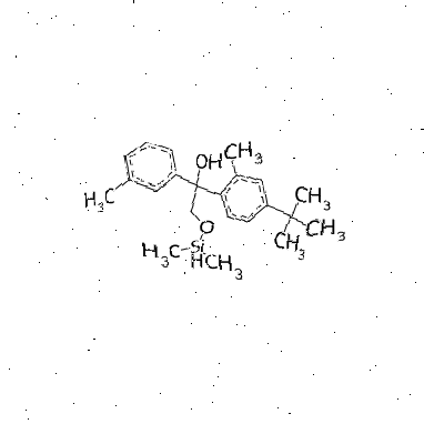 Cc1cccc(C(O)(CO[SiH](C)C)c2ccc(C(C)(C)C)cc2C)c1